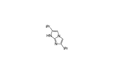 CC(C)c1cn2cc(C(C)C)[nH]c2n1